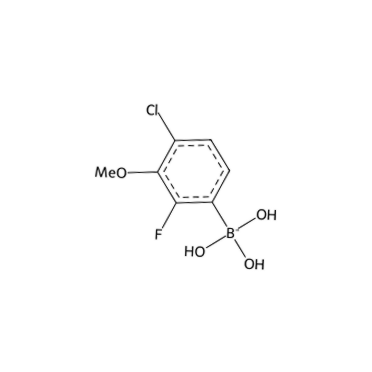 COc1c(Cl)ccc([B-](O)(O)O)c1F